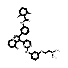 CN(C)CCOc1cccc(Nc2nccc(-c3c(-c4cccc(NC(=O)c5c(F)cccc5F)c4)nn4cccc(F)c34)n2)c1